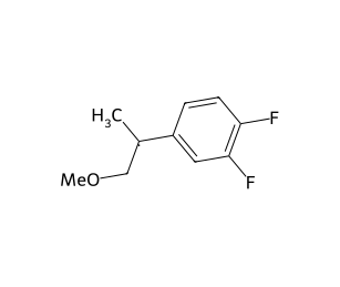 COC[C](C)c1ccc(F)c(F)c1